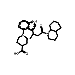 CC(CC(=O)N1CCCC2CCCCC21)c1c[nH]c2cccc(N3CCC(C(=O)O)CC3)c12